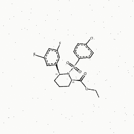 CCOC(=O)[C@H]1CCC[C@@H](c2cc(F)cc(F)c2)N1S(=O)(=O)c1ccc(Cl)cc1